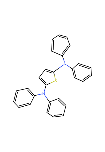 c1ccc(N(c2ccccc2)c2ccc(N(c3ccccc3)c3ccccc3)s2)cc1